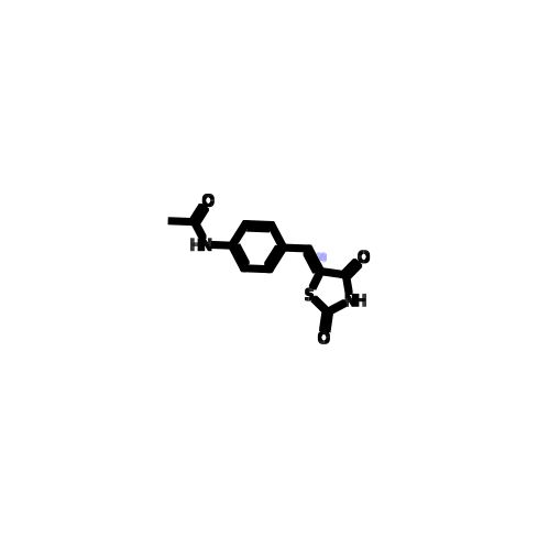 CC(=O)Nc1ccc(/C=C2\SC(=O)NC2=O)cc1